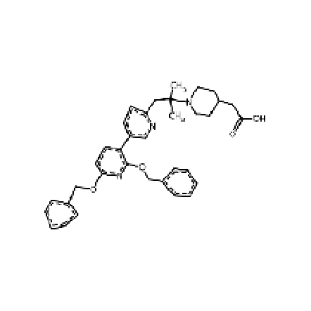 CC(C)(Cc1ccc(-c2ccc(OCc3ccccc3)nc2OCc2ccccc2)cn1)N1CCC(CC(=O)O)CC1